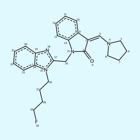 O=C1C(=CN2CCCC2)c2ccccc2N1Cc1nc2ccccc2n1CCCCF